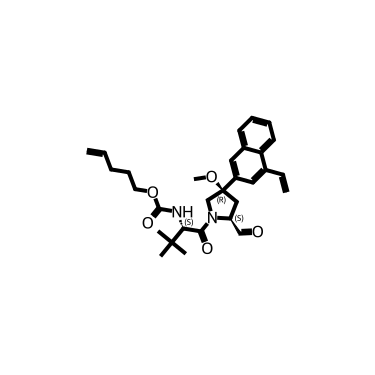 C=CCCCOC(=O)N[C@H](C(=O)N1C[C@](OC)(c2cc(C=C)c3ccccc3c2)C[C@H]1C=O)C(C)(C)C